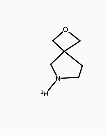 [2H]N1CCC2(COC2)C1